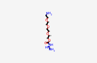 NCCOCCOCCOCCOC(=O)NNN